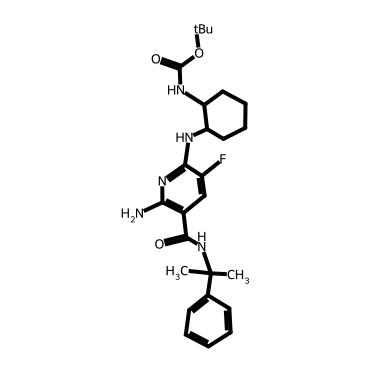 CC(C)(C)OC(=O)NC1CCCCC1Nc1nc(N)c(C(=O)NC(C)(C)c2ccccc2)cc1F